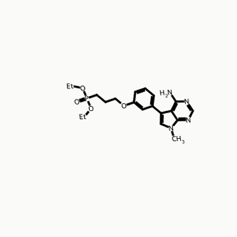 CCOP(=O)(CCCOc1cccc(-c2cn(C)c3ncnc(N)c23)c1)OCC